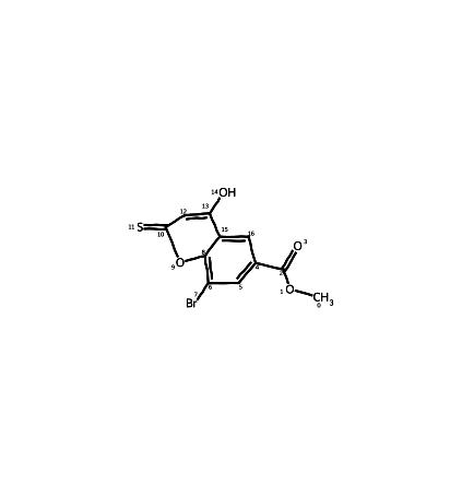 COC(=O)c1cc(Br)c2oc(=S)cc(O)c2c1